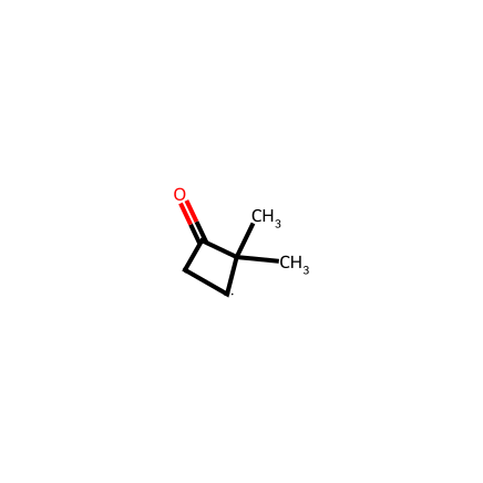 CC1(C)[CH]CC1=O